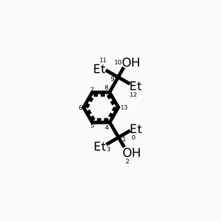 CCC(O)(CC)c1cccc(C(O)(CC)CC)c1